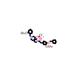 COc1cc(CC(=O)N2CCC3(CCN(Cc4ccccc4OCC(C)C)CC3)C2OC(=O)C(F)(F)F)ccc1OCc1ccccc1